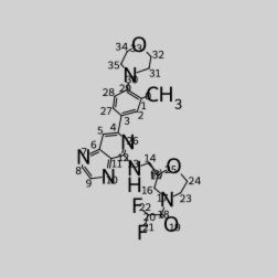 Cc1cc(-c2cc3nccnc3c(NC[C@@H]3CN(C(=O)C(F)F)CCO3)n2)ccc1N1CCOCC1